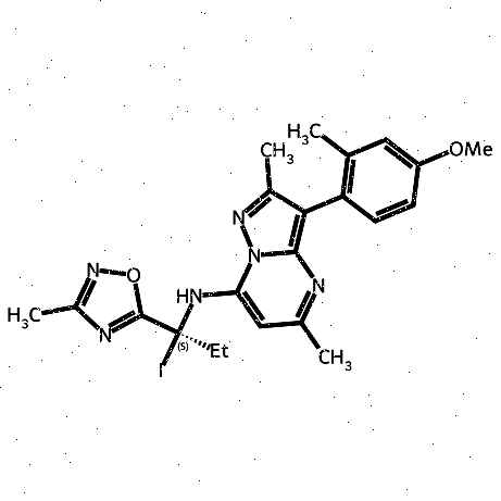 CC[C@@](I)(Nc1cc(C)nc2c(-c3ccc(OC)cc3C)c(C)nn12)c1nc(C)no1